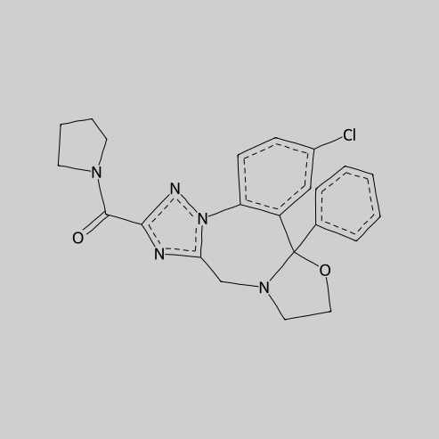 O=C(c1nc2n(n1)-c1ccc(Cl)cc1C1(c3ccccc3)OCCN1C2)N1CCCC1